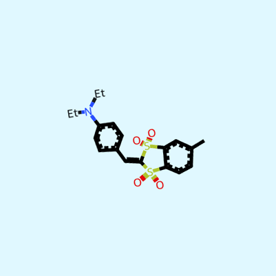 CCN(CC)c1ccc(C=C2S(=O)(=O)c3ccc(C)cc3S2(=O)=O)cc1